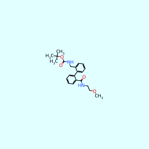 COCCNC(=O)c1ccccc1-c1ccccc1CNC(=O)OC(C)(C)C